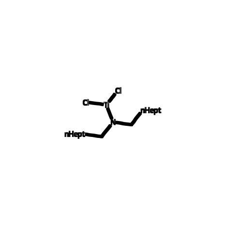 CCCCCCCC[N](CCCCCCCC)[Ti]([Cl])[Cl]